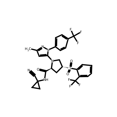 Cc1cc(N2C[C@H](S(=O)(=O)c3ccccc3C(F)(F)F)C[C@H]2C(=O)NC2(C#N)CC2)n(-c2ccc(C(F)(F)F)cc2)n1